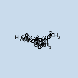 CC(=O)c1ccc(NC(=O)Nc2ccc(S(=O)(=O)Oc3cc(NC(=O)Nc4ccccc4C(C)=O)ccc3NC(=O)Nc3ccccc3C(C)=O)cc2)cc1